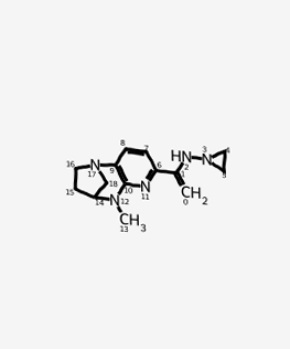 C=C(NN1CC1)c1ccc2c(n1)N(C)C1CCN2C1